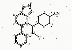 N#CC1CCC(C(C(N)=O)c2c(-c3ccccc3)ccc3cncn23)CC1